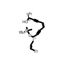 CC/C=C\C[C@@H](C#C/C=C\C#C[C@@H](O)CCC)O[Si](C)(C)C(C)(C)C